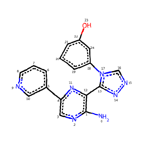 Nc1ncc(-c2cccnc2)nc1-c1nncn1-c1cccc(O)c1